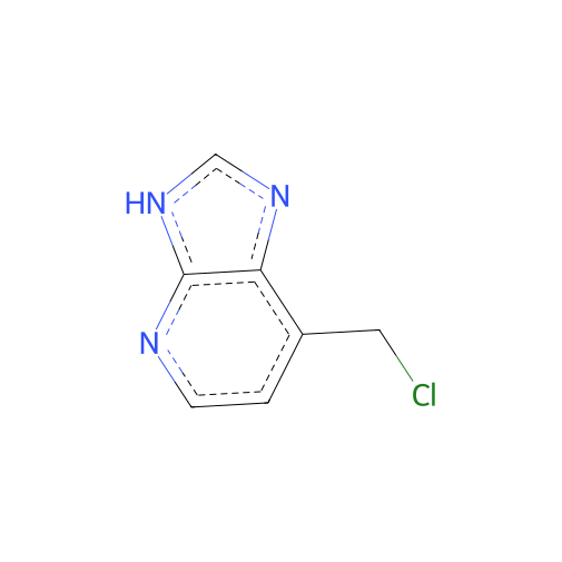 ClCc1ccnc2[nH]cnc12